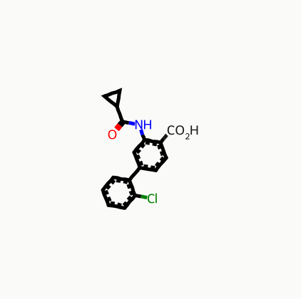 O=C(O)c1ccc(-c2ccccc2Cl)cc1NC(=O)C1CC1